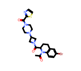 CC(=O)N1c2ccc(Br)cc2CCC1C(=O)N1CC(N2CCN(C(=O)c3nccs3)CC2)C1